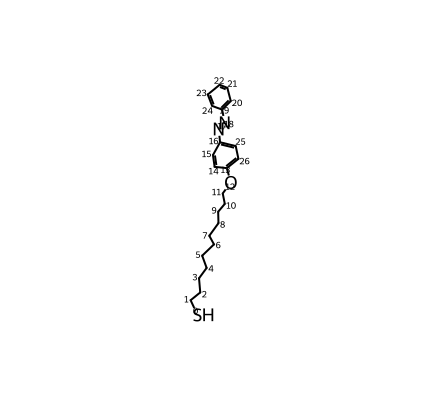 SCCCCCCCCCCCOc1ccc(N=Nc2ccccc2)cc1